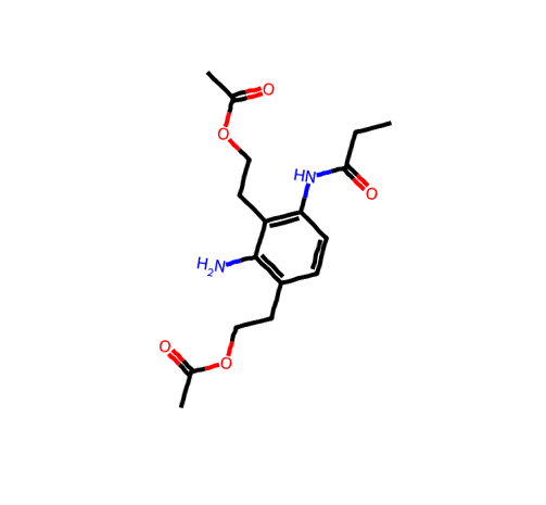 CCC(=O)Nc1ccc(CCOC(C)=O)c(N)c1CCOC(C)=O